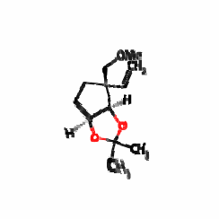 C=C[C@@]1(COC)CC[C@@H]2OC(C)(C)O[C@@H]21